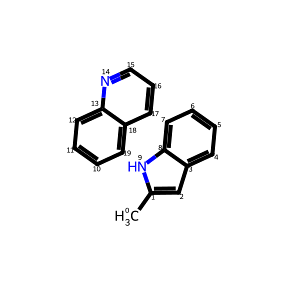 Cc1cc2ccccc2[nH]1.c1ccc2ncccc2c1